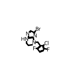 Fc1ccc(F)c(CN2CCCNc3ncc(Br)nc32)c1Cl